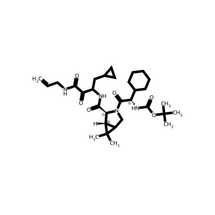 C=CCNC(=O)C(=O)C(CC1CC1)NC(=O)[C@@H]1[C@@H]2C(CN1C(=O)[C@@H](NC(=O)OC(C)(C)C)C1CCCCC1)C2(C)C